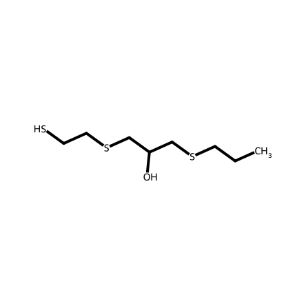 CCCSCC(O)CSCCS